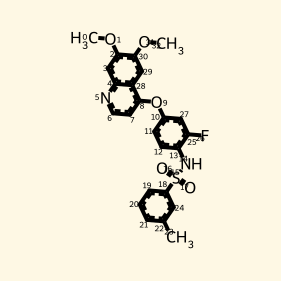 COc1cc2nccc(Oc3ccc(NS(=O)(=O)c4cccc(C)c4)c(F)c3)c2cc1OC